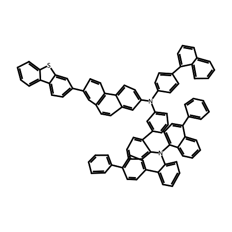 c1ccc(-c2ccc(-c3ccccc3N(c3ccccc3-c3cccc(N(c4ccc(-c5cccc6ccccc56)cc4)c4ccc5c(ccc6cc(-c7ccc8c(c7)sc7ccccc78)ccc65)c4)c3)c3ccc(-c4ccccc4)c4ccccc34)cc2)cc1